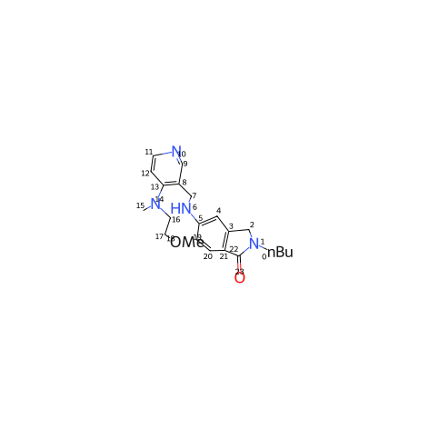 CCCCN1Cc2cc(NCc3cnccc3N(C)CCOC)ccc2C1=O